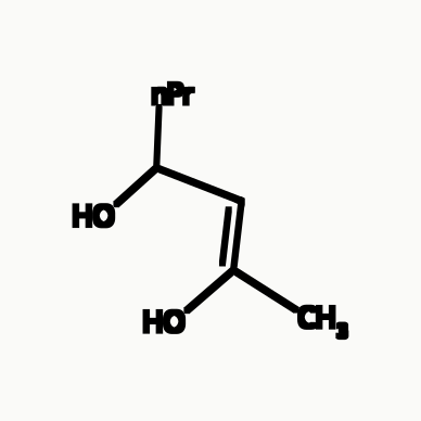 CCCC(O)/C=C(/C)O